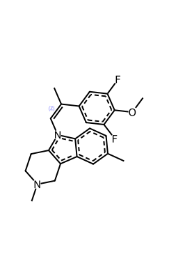 COc1c(F)cc(/C(C)=C\n2c3c(c4cc(C)ccc42)CN(C)CC3)cc1F